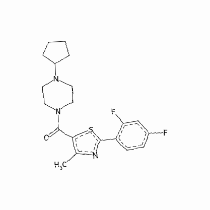 Cc1nc(-c2ccc(F)cc2F)sc1C(=O)N1CCN(C2CCCC2)CC1